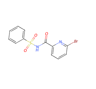 O=C(NS(=O)(=O)c1ccccc1)c1cccc(Br)n1